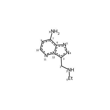 CCNCc1nnc2c(N)ccnn12